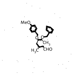 COc1ccc(CO[C@H](C[C@@H](C)CC=O)[C@@H](C)OCc2ccccc2)cc1